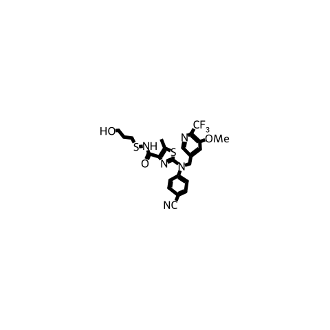 COc1cc(CN(c2ccc(C#N)cc2)c2nc(C(=O)NSCCCO)c(C)s2)cnc1C(F)(F)F